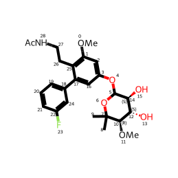 COc1cc(OC2OC(C)(C)[C@H](OC)[C@@H](O)[C@@H]2O)cc(-c2cccc(F)c2)c1CCNC(C)=O